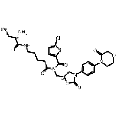 CC(C)C[C@H](N)C(=O)NCCCCC(=O)N(C[C@H]1CN(c2ccc(N3CCOCC3=O)cc2)C(=O)O1)C(=O)c1ccc(Cl)s1